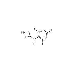 Fc1cc(F)c(C(F)C2CNC2)c(F)c1